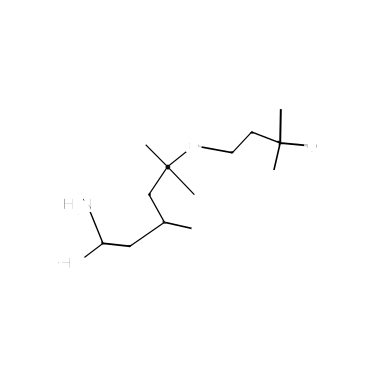 CC(CC(N)C=O)CC(C)(C)OCCC(C)(C)O